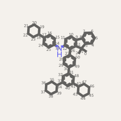 CC1(C)c2ccccc2-c2ccc(Nc3ccc(C4CCCCC4)cc3)c(-c3ccc(-c4cc(C5CCCCC5)cc(C5CCCCC5)c4)cc3)c21